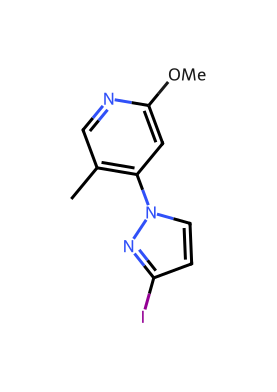 COc1cc(-n2ccc(I)n2)c(C)cn1